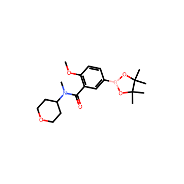 COc1ccc(B2OC(C)(C)C(C)(C)O2)cc1C(=O)N(C)C1CCOCC1